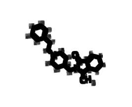 CC1C2CCCC=C2C(=O)N1CC1CCN(CCc2ccccc2)CC1